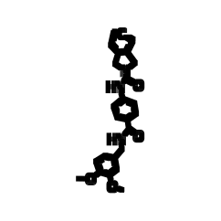 COc1ccc(CNC(=O)c2ccc(NC(=O)N3Cc4ccccc4C3)cc2)cc1OC